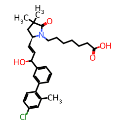 Cc1cc(Cl)ccc1-c1cccc(C(O)/C=C/[C@H]2CC(C)(C)C(=O)N2CCCCCCC(=O)O)c1